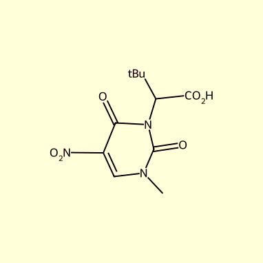 Cn1cc([N+](=O)[O-])c(=O)n(C(C(=O)O)C(C)(C)C)c1=O